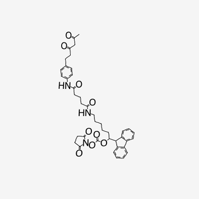 CC(=O)CC(=O)CCc1ccc(NC(=O)CCCC(=O)NCCCCCC(OC(=O)ON2C(=O)CCC2=O)C2c3ccccc3-c3ccccc32)cc1